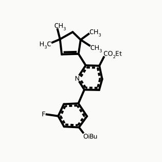 CCOC(=O)c1ccc(-c2cc(F)cc(OCC(C)C)c2)nc1C1=CC(C)(C)CC1(C)C